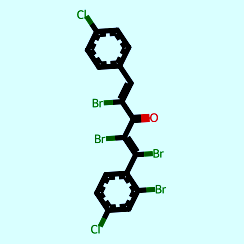 O=C(C(Br)=Cc1ccc(Cl)cc1)C(Br)=C(Br)c1ccc(Cl)cc1Br